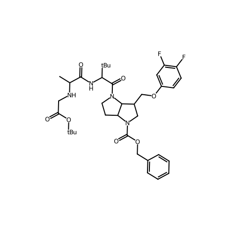 CC(NCC(=O)OC(C)(C)C)C(=O)NC(C(=O)N1CCC2C1C(COc1ccc(F)c(F)c1)CN2C(=O)OCc1ccccc1)C(C)(C)C